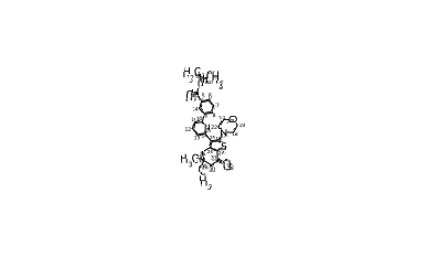 CN(C)C(=O)c1cccc(-c2cccc(-c3c(N4CCOCC4)sc4c3CC(C)(C)CC4=O)n2)c1